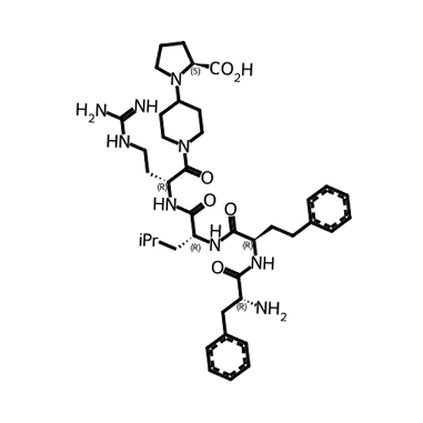 CC(C)C[C@@H](NC(=O)[C@@H](CCc1ccccc1)NC(=O)[C@H](N)Cc1ccccc1)C(=O)N[C@H](CCNC(=N)N)C(=O)N1CCC(N2CCC[C@H]2C(=O)O)CC1